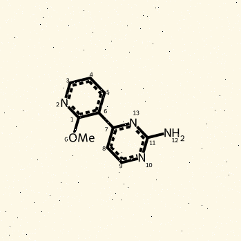 COc1ncccc1-c1ccnc(N)n1